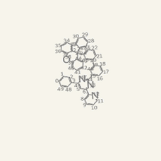 c1ccc(-c2cc(-c3ccccn3)nc(-c3cccc(-c4cccc(C5(c6ccccc6)c6ccccc6Oc6ccccc65)c4)c3)n2)cc1